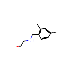 Cc1cc([C]=O)ccc1CNCCO